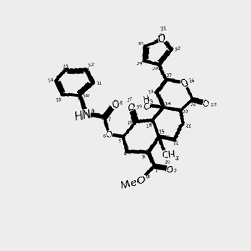 COC(=O)C1CC(OC(=O)Nc2ccccc2)C(=O)C2C1(C)CCC1C(=O)OC(c3ccoc3)CC12C